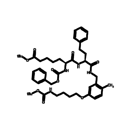 Cc1ccc(OCCCCNC(=O)OC(C)(C)C)cc1CNC(=O)[C@H](CCc1ccccc1)NC(=O)[C@H](CCCCC(=O)OC(C)(C)C)NC(=O)OCc1ccccc1